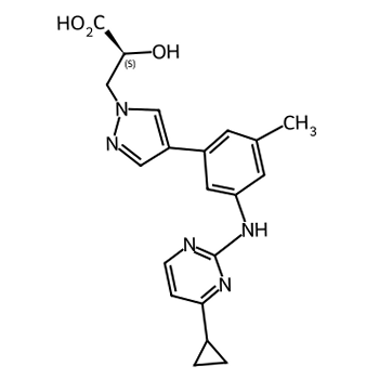 Cc1cc(Nc2nccc(C3CC3)n2)cc(-c2cnn(C[C@H](O)C(=O)O)c2)c1